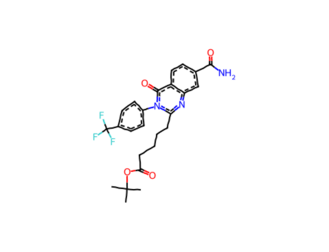 CC(C)(C)OC(=O)CCCCc1nc2cc(C(N)=O)ccc2c(=O)n1-c1ccc(C(F)(F)F)cc1